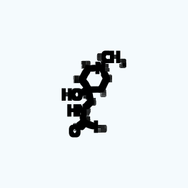 CN1CCC(O)(CNC(=O)I)CC1